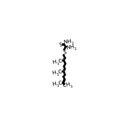 CC(C)=CCC/C(C)=C/CC/C(C)=C/CSC[C@H](N)C(N)=S